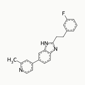 Cc1cc(-c2ccc3nc(CCc4cccc(F)c4)[nH]c3c2)ccn1